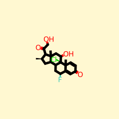 C[C@@H]1CC2C3C[C@H](F)C4=CC(=O)C=CC4(C)[C@@]3(Cl)C(O)CC2(C)C1C(=O)CO